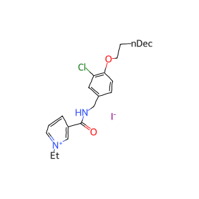 CCCCCCCCCCCCOc1ccc(CNC(=O)c2ccc[n+](CC)c2)cc1Cl.[I-]